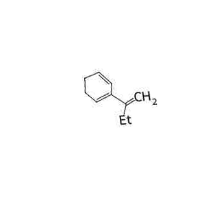 C=C(CC)C1=CCCC=C1